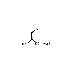 CCCC(C)CCl.[MgH2]